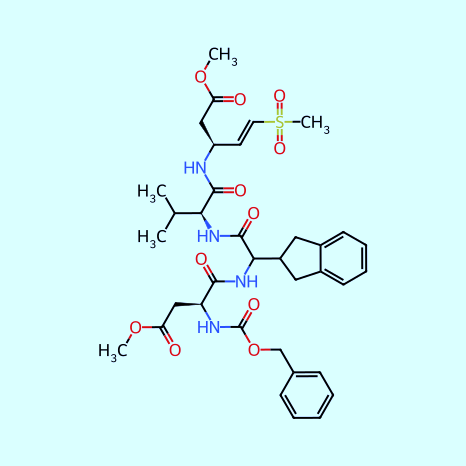 COC(=O)C[C@@H](/C=C/S(C)(=O)=O)NC(=O)[C@@H](NC(=O)C(NC(=O)[C@H](CC(=O)OC)NC(=O)OCc1ccccc1)C1Cc2ccccc2C1)C(C)C